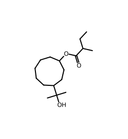 CCC(C)C(=O)OC1CCCCCC(C(C)(C)O)CC1